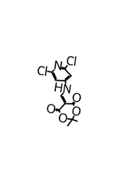 CC1(C)OC(=O)C(=CNc2cc(Cl)nc(Cl)c2)C(=O)O1